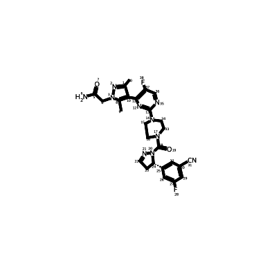 Cc1nn(CC(N)=O)c(C)c1-c1nc(N2CCN(C(=O)N3N=CC[C@H]3c3cc(F)cc(C#N)c3)CC2)ncc1F